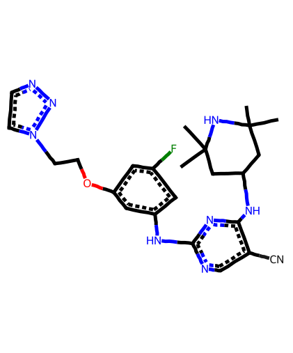 CC1(C)CC(Nc2nc(Nc3cc(F)cc(OCCn4ccnn4)c3)ncc2C#N)CC(C)(C)N1